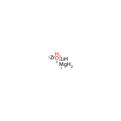 O.[LiH].[MgH2].[Zr]